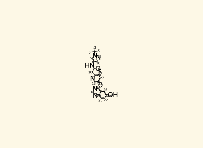 CC(C)(C)n1cc(NC(=O)Cc2ncc(Oc3ncnc4ccc(O)cc34)cc2F)cn1